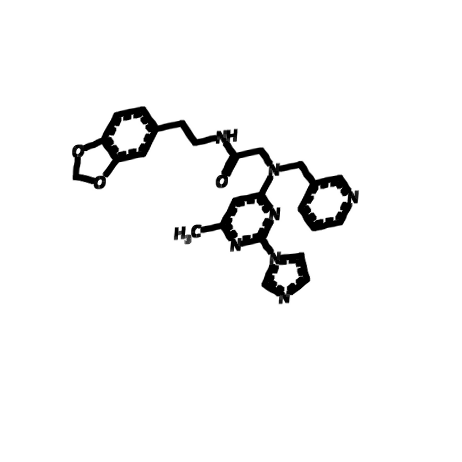 Cc1cc(N(CC(=O)NCCc2ccc3c(c2)OCO3)Cc2cccnc2)nc(-n2ccnc2)n1